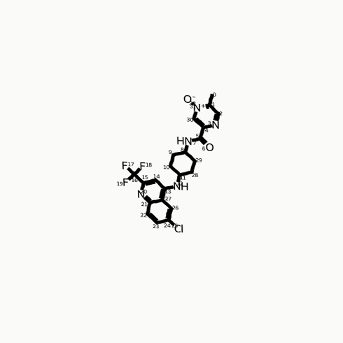 Cc1cnc(C(=O)NC2CCC(Nc3cc(C(F)(F)F)nc4ccc(Cl)cc34)CC2)c[n+]1[O-]